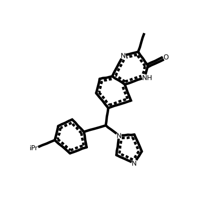 Cc1nc2ccc(C(c3ccc(C(C)C)cc3)n3ccnc3)cc2[nH]c1=O